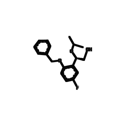 CC(C)O[C@@H](CO)c1cc(F)ccc1OCc1ccccc1